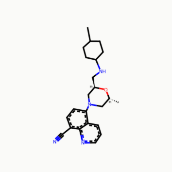 CC1CCC(NC[C@@H]2CN(c3ccc(C#N)c4ncccc34)C[C@@H](C)O2)CC1